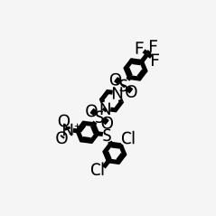 O=[N+]([O-])c1ccc(Sc2cc(Cl)ccc2Cl)c(S(=O)(=O)N2CCN(S(=O)(=O)c3ccc(C(F)(F)F)cc3)CC2)c1